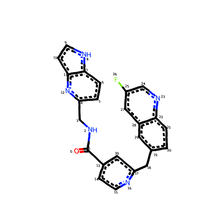 O=C(NCc1ccc2[nH]ccc2n1)c1ccnc(Cc2ccc3ncc(F)cc3c2)c1